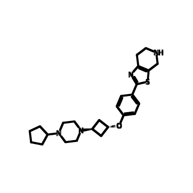 c1cc(-c2nc3c(s2)CNCC3)ccc1O[C@H]1C[C@H](N2CCN(C3CCCC3)CC2)C1